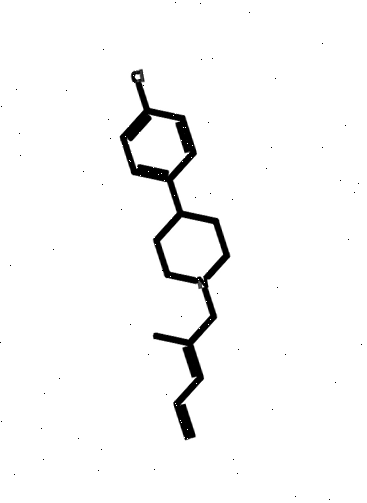 C=C/C=C(\C)CN1CCC(c2ccc(Cl)cc2)CC1